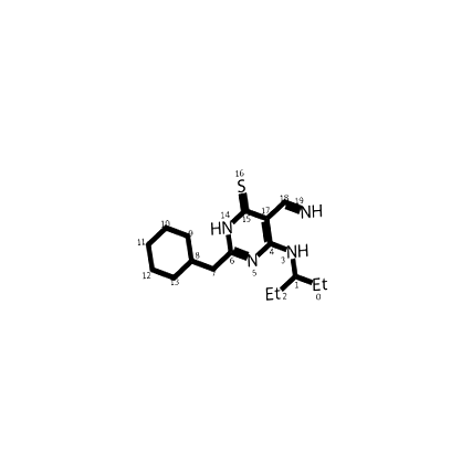 CCC(CC)Nc1nc(CC2CCCCC2)[nH]c(=S)c1C=N